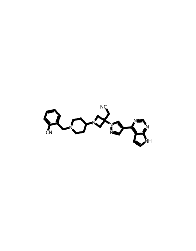 N#CCC1(n2cc(-c3ncnc4[nH]ccc34)cn2)CN(C2CCN(Cc3ccccc3C#N)CC2)C1